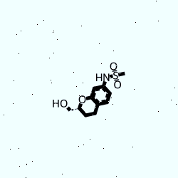 CS(=O)(=O)Nc1ccc2c(c1)O[C@@H](CO)CC2